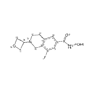 O=C(NO)c1cc(F)c2c(c1)CCN(C1COC1)C2